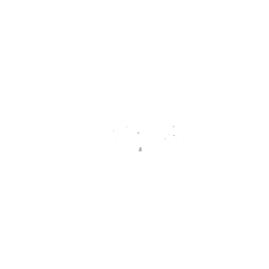 COC(=O)C(=N)/C(N)=C(\NCCOCC(F)(F)F)C(N)=O